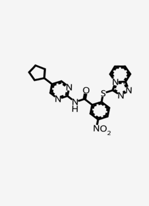 O=C(Nc1ncc(C2CCCC2)cn1)c1cc([N+](=O)[O-])ccc1Sc1nnc2ccccn12